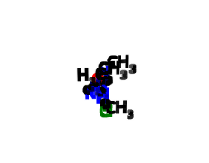 CCCCC(c1cccc(NC(=O)C2Cc3cccnc3N2C2CCN(Cc3ccc(Cl)c(C)c3)CC2)c1)N(C)C